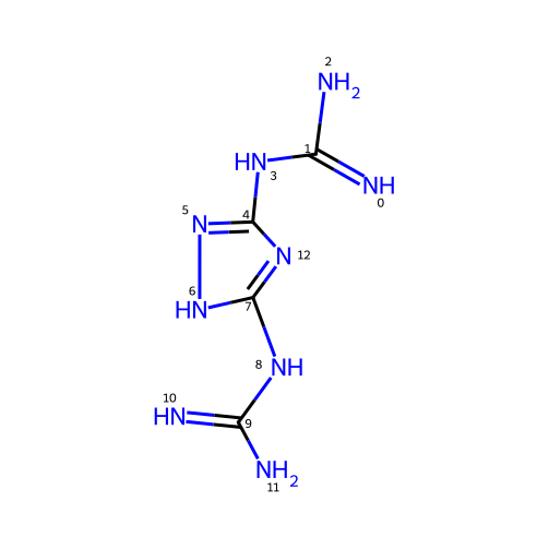 N=C(N)Nc1n[nH]c(NC(=N)N)n1